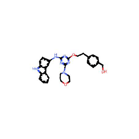 OCc1ccc(CCOc2nc(Nc3ccc4[nH]c5ccccc5c4c3)nc(N3CCOCC3)n2)cc1